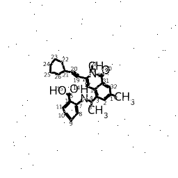 Cc1cc(C(C)Nc2ccccc2C(=O)O)c2cc(C#CC3CCCCC3)n(C)c(=O)c2c1